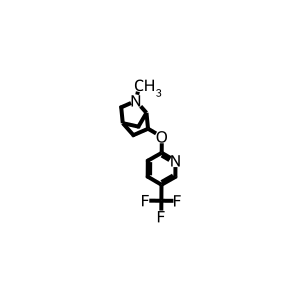 CN1CC2CC(Oc3ccc(C(F)(F)F)cn3)C1C2